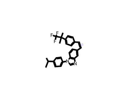 CC(C)c1ccc(-n2cnc3cc(/C=C\c4ccc(C(C)(C)C(F)(F)F)cc4)ccc32)cc1